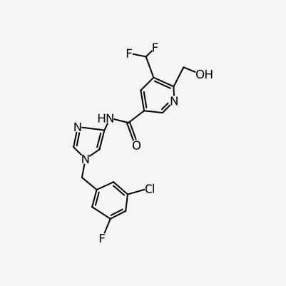 O=C(Nc1cn(Cc2cc(F)cc(Cl)c2)cn1)c1cnc(CO)c(C(F)F)c1